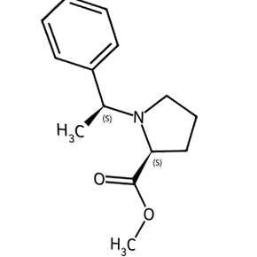 COC(=O)[C@@H]1CCCN1[C@@H](C)c1ccccc1